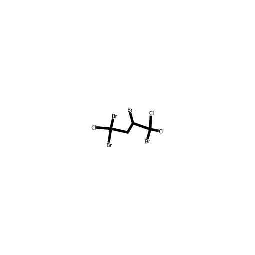 ClC(Br)(Br)CC(Br)C(Cl)(Cl)Br